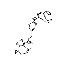 N#Cc1cc(Oc2ccc(CCNc3ncnc4c(F)ccc(F)c34)cc2)ncc1Cl